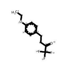 CCOc1ccc(CCC(=O)C(F)(F)F)cc1